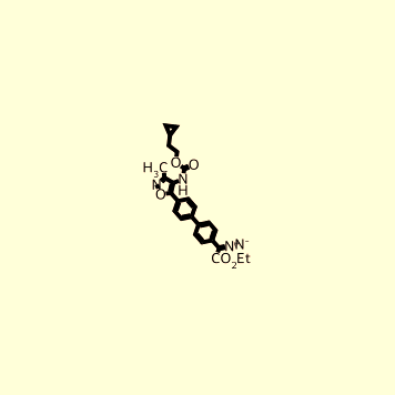 CCOC(=O)C(=[N+]=[N-])c1ccc(-c2ccc(-c3onc(C)c3NC(=O)OCCC3CC3)cc2)cc1